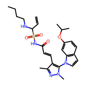 C=CC(NCCCC)S(=O)(=O)NC(=O)/C=C/c1c(C)nn(C)c1-n1ccc2ccc(OC(C)C)cc21